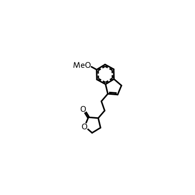 COc1ccc2c(c1)C(CCC1CCOC1=O)=CC2